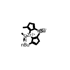 CCCCC1=CCC(C)=[C]1[Zr+2]([C]1=C(C)CC=C1CCCC)[SiH](C)C.[Cl-].[Cl-]